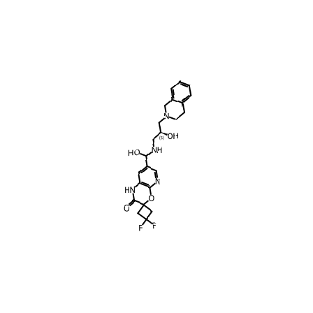 O=C1Nc2cc(C(O)NC[C@H](O)CN3CCc4ccccc4C3)cnc2OC12CC(F)(F)C2